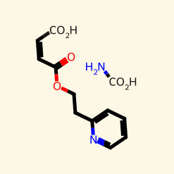 NC(=O)O.O=C(O)/C=C\C(=O)OCCc1ccccn1